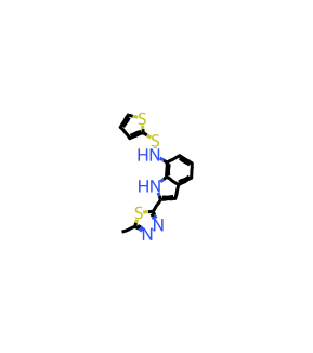 Cc1nnc(-c2cc3cccc(NSc4cccs4)c3[nH]2)s1